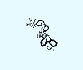 CC(C)c1ccccc1-c1nc(NS(=O)(=O)c2cccc(N3CCC[C@](C)(C(=O)O)C3)n2)ccc1C(F)(F)F